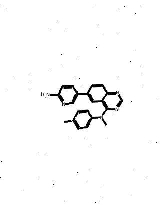 Cc1ccc(N(C)c2ncnc3ccc(-c4ccc(N)nc4)cc23)cc1